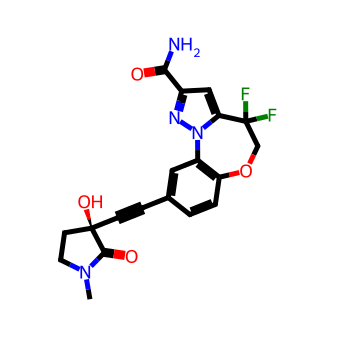 CN1CC[C@](O)(C#Cc2ccc3c(c2)-n2nc(C(N)=O)cc2C(F)(F)CO3)C1=O